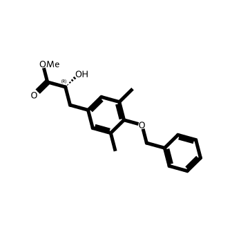 COC(=O)[C@H](O)Cc1cc(C)c(OCc2ccccc2)c(C)c1